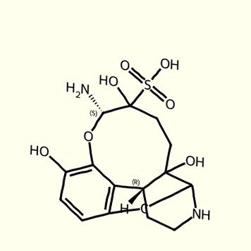 N[C@H]1Oc2c(O)ccc3c2[C@H]2CCNC(C3)C2(O)CCC1(O)S(=O)(=O)O